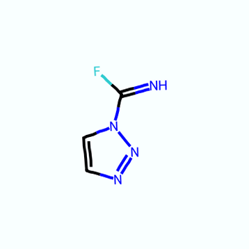 N=C(F)n1ccnn1